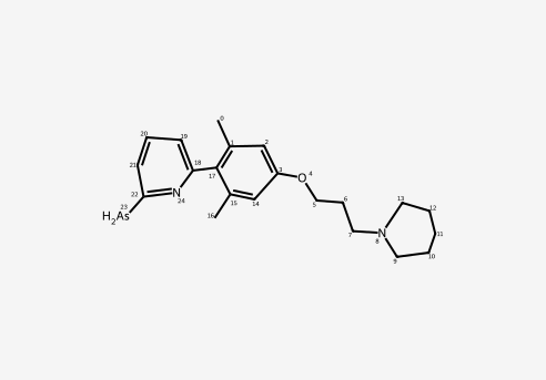 Cc1cc(OCCCN2CCCCC2)cc(C)c1-c1cccc([AsH2])n1